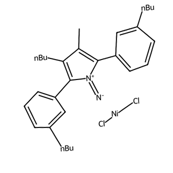 CCCCC1=C(c2cccc(CCCC)c2)[N+](=[N-])C(c2cccc(CCCC)c2)=C1C.[Cl][Ni][Cl]